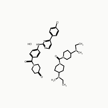 CCN(C)C1CCN(C(=O)N2CCC(N(C)CC)CC2)CC1.Cl.O=C1CCN(C(=O)c2ccc(Nc3nccc(-c4ccc(Cl)cc4)n3)cc2)CC1